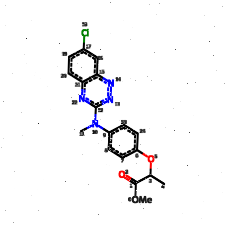 COC(=O)C(C)Oc1ccc(N(C)c2nnc3cc(Cl)ccc3n2)cc1